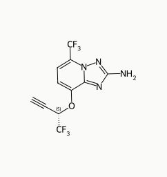 C#C[C@H](Oc1ccc(C(F)(F)F)n2nc(N)nc12)C(F)(F)F